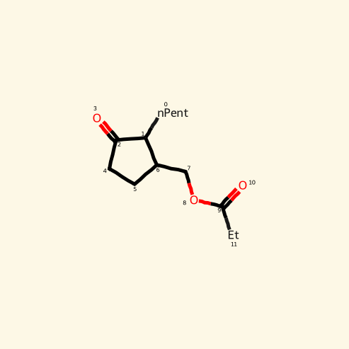 CCCCCC1C(=O)CCC1COC(=O)CC